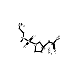 CN(CCN)S(=O)(=O)N1CC[C@](N)(CC(=O)O)C1